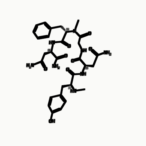 CN[C@@H](Cc1ccc(O)cc1)C(=O)N[C@H](CC(N)=O)C(=O)NCC(=O)N(C)[C@@H](Cc1ccccc1)C(=O)N[C@H](CC(N)=O)C(N)=O